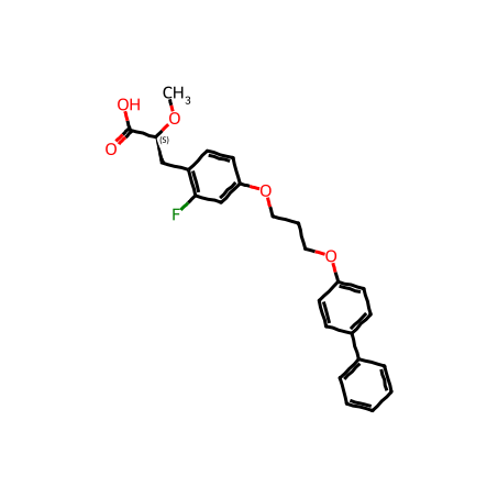 CO[C@@H](Cc1ccc(OCCCOc2ccc(-c3ccccc3)cc2)cc1F)C(=O)O